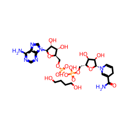 NC(=O)C1=CN([C@@H]2O[C@H](COP(=O)(O)OP(=O)(O)OC[C@H]3O[C@@H](n4cnc5c(N)ncnc54)[C@H](O)[C@@H]3O)[C@@H](O)[C@H]2O)C=CC1.OCCCCO